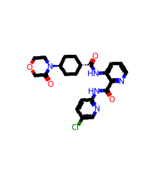 O=C(Nc1ccc(Cl)cn1)c1ncccc1NC(=O)[C@H]1CC[C@H](N2CCOCC2=O)CC1